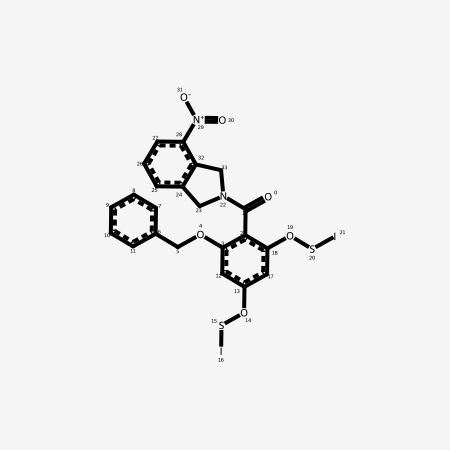 O=C(c1c(OCc2ccccc2)cc(OSI)cc1OSI)N1Cc2cccc([N+](=O)[O-])c2C1